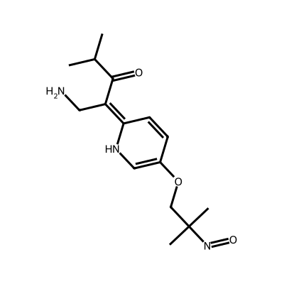 CC(C)C(=O)/C(CN)=C1\C=CC(OCC(C)(C)N=O)=CN1